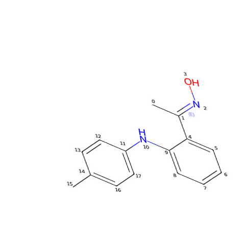 C/C(=N\O)c1ccccc1Nc1ccc(C)cc1